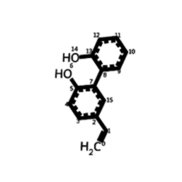 C=Cc1ccc(O)c(-c2ccccc2O)c1